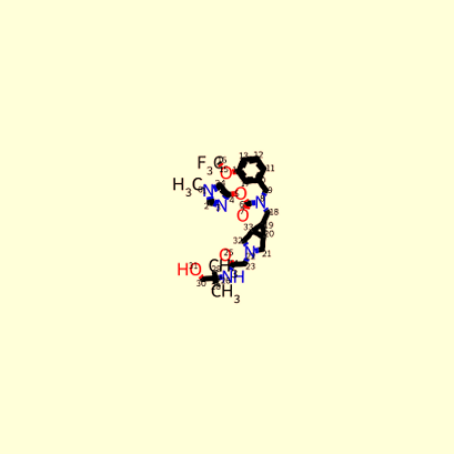 Cn1cnc(OC(=O)N(Cc2cccc(OC(F)(F)F)c2)CC2C3CN(CC(=O)NC(C)(C)CO)CC32)c1